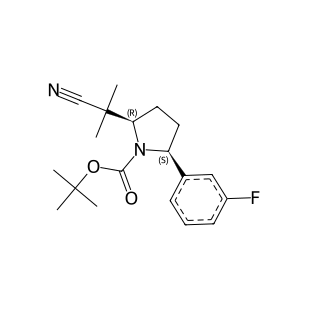 CC(C)(C)OC(=O)N1[C@H](c2cccc(F)c2)CC[C@@H]1C(C)(C)C#N